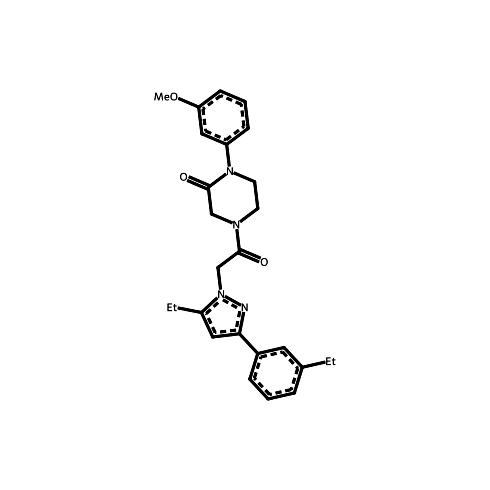 CCc1cccc(-c2cc(CC)n(CC(=O)N3CCN(c4cccc(OC)c4)C(=O)C3)n2)c1